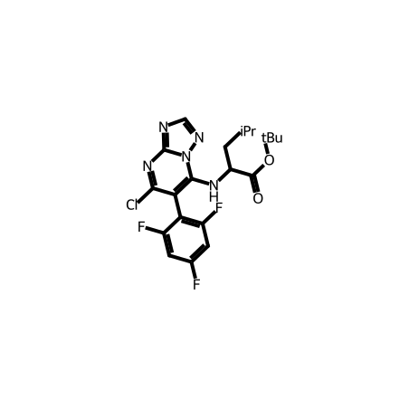 CC(C)CC(Nc1c(-c2c(F)cc(F)cc2F)c(Cl)nc2ncnn12)C(=O)OC(C)(C)C